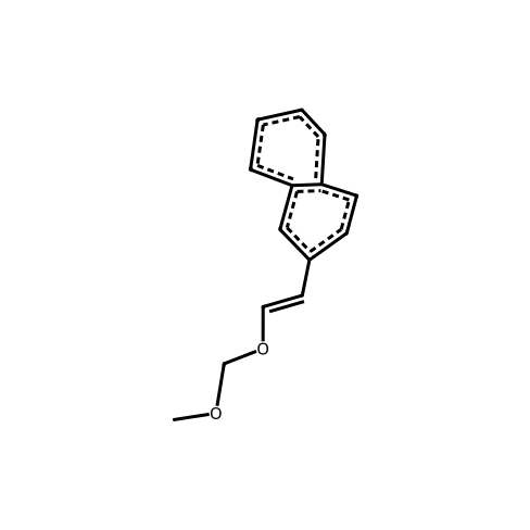 COCOC=Cc1ccc2ccccc2c1